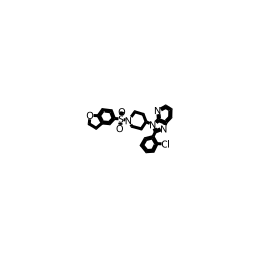 O=S(=O)(c1ccc2c(c1)CCO2)N1CCC(n2c(-c3ccccc3Cl)nc3cccnc32)CC1